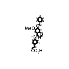 COc1cc2c(Nc3ccc(C=CC(=O)O)cc3)ncnc2cc1OCc1ccccc1